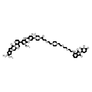 C[C@H]1CN(C(=O)CCOCCN2CCN(CCOCCOCCNc3cccc4c3C(=O)N(C3CCC(=O)NC3=O)C4=O)CC2)CCN1c1ccc(Nc2cc(-c3ccnc(N4CCn5c(cc6c5CC(C)(C)C6)C4=O)c3CO)cn(C)c2=O)nc1